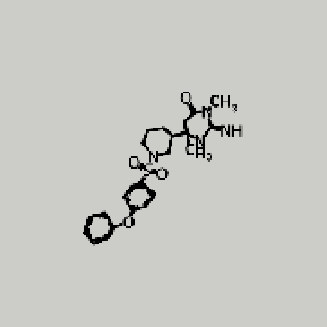 CN1C(=N)N[C@](C)(C2CCCN(S(=O)(=O)c3ccc(Oc4ccccc4)cc3)C2)CC1=O